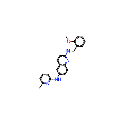 COc1ccccc1CNc1ccc2cc(Nc3cccc(C)n3)ccc2n1